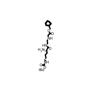 CC(C)(C)OC(=O)NCCCC[C@H](N)C(=O)NCCNCC(=O)OCc1ccccc1